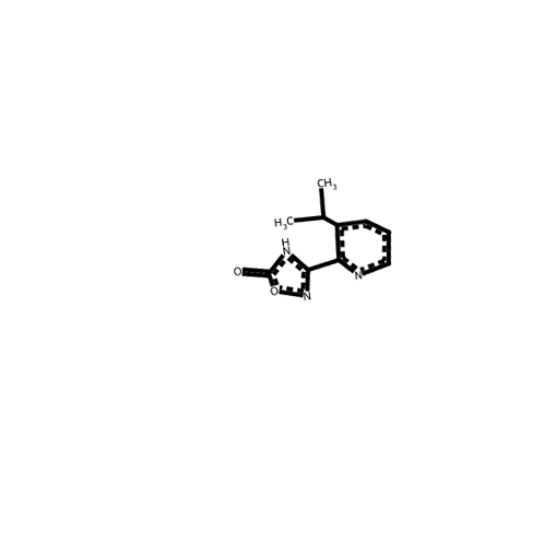 CC(C)c1cccnc1-c1noc(=O)[nH]1